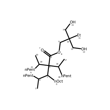 CCCCCCCCC(C(C)CCCCC)C(C(=O)OCC(CC)(CO)CO)(C(C)CCCCC)C(C)CCCCC